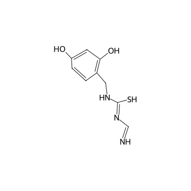 N=C/N=C(\S)NCc1ccc(O)cc1O